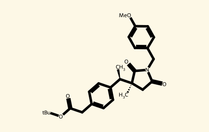 COc1ccc(CN2C(=O)C[C@@](C)([C@H](C)c3ccc(CC(=O)OC(C)(C)C)cc3)C2=O)cc1